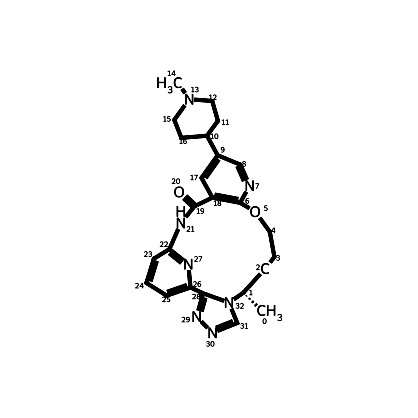 C[C@H]1CCCOc2ncc(C3CCN(C)CC3)cc2C(=O)Nc2cccc(n2)-c2nncn21